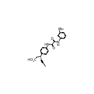 CC#C[C@@H](CC(=O)O)c1ccc(NC(=O)C(=O)Nc2cccc(C(C)(C)C)c2)cc1